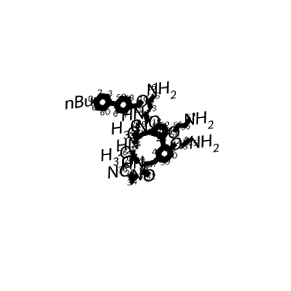 CCCCc1ccc(-c2ccc(C(=O)N[C@@H](CCCN)C(=O)N(C)[C@@H]3C(=O)N[C@@H](C)C(=O)N[C@H](C(=O)N4CC4C#N)Cc4ccc(OCCN)c(c4)-c4cc3ccc4OCCN)cc2)cc1